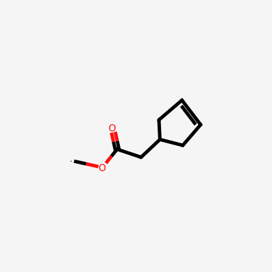 [CH2]OC(=O)CC1CC=CC1